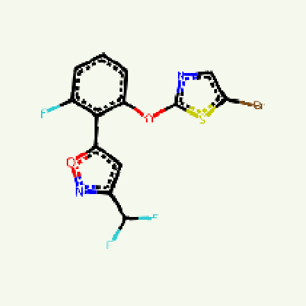 Fc1cccc(Oc2ncc(Br)s2)c1-c1cc(C(F)F)no1